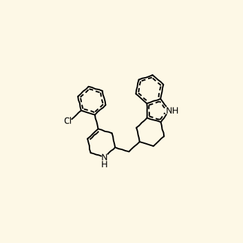 Clc1ccccc1C1=CCNC(CC2CCc3[nH]c4ccccc4c3C2)C1